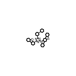 c1ccc(-c2cccc(-c3nc(-c4cccc5c4oc4ccccc45)nc(-n4c5ccccc5c5cc6sc7ccccc7c6cc54)n3)c2)cc1